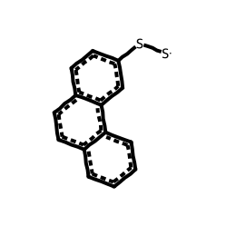 [S]Sc1ccc2ccc3ccccc3c2c1